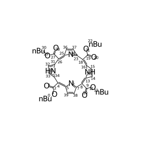 CCCCOC(=O)c1c2nc(c(C(=O)OCCCC)c3ccc([nH]3)c(C(=O)OCCCC)c3nc(c(C(=O)OCCCC)c4ccc1[nH]4)C=C3)C=C2